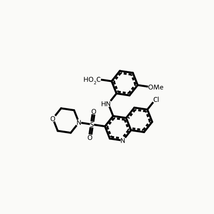 COc1ccc(C(=O)O)c(Nc2c(S(=O)(=O)N3CCOCC3)cnc3ccc(Cl)cc23)c1